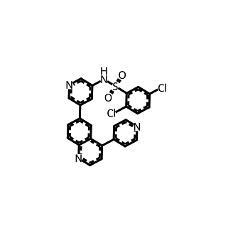 O=S(=O)(Nc1cncc(-c2ccc3nccc(-c4ccncc4)c3c2)c1)c1cc(Cl)ccc1Cl